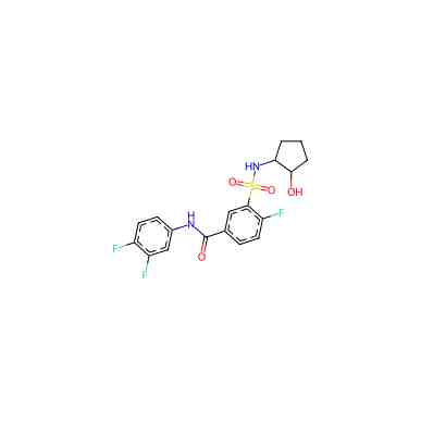 O=C(Nc1ccc(F)c(F)c1)c1ccc(F)c(S(=O)(=O)NC2CCCC2O)c1